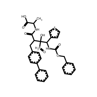 CC(NC(=O)C(Cc1ccc(-c2ccccc2)cc1)C(O)([PH2]=O)C(NC(=O)OCc1ccccc1)c1ccsc1)C(=O)O